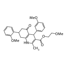 COCCOC(=O)C1=C(C)NC2=C(C(=O)CC(c3ccccc3OC)C2)C1c1cccc(OC)c1